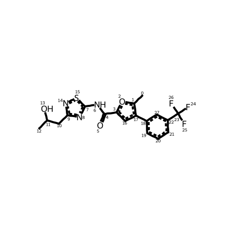 Cc1oc(C(=O)Nc2nc(CC(C)O)ns2)cc1-c1cccc(C(F)(F)F)c1